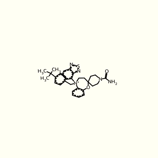 CC(C)(C)c1ccc(C[N+]2(c3cccc4nsnc34)CCC3(CCN(C(N)=O)CC3)Oc3ccccc32)cc1